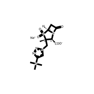 C[C@]1(Cn2cc([Si](C)(C)C)nn2)[C@H](C(=O)[O-])N2C(=O)C[C@@H]2S1(=O)=O.[Na+]